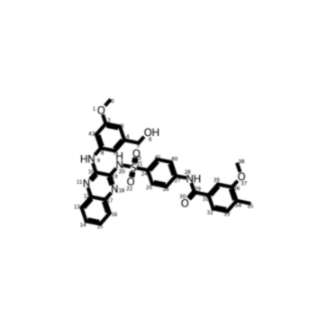 COc1cc(CO)cc(Nc2nc3ccccc3nc2NS(=O)(=O)c2ccc(NC(=O)c3ccc(C)c(OC)c3)cc2)c1